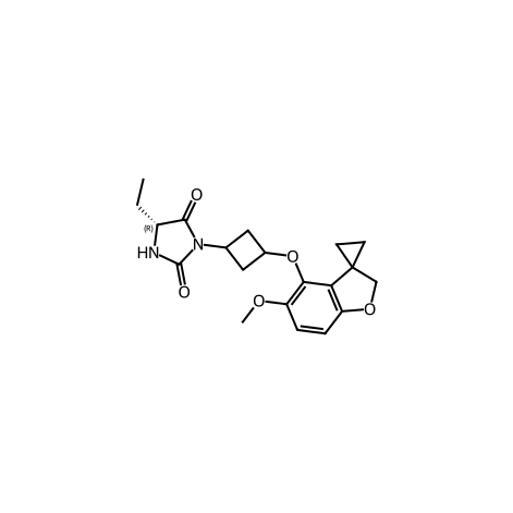 CC[C@H]1NC(=O)N(C2CC(Oc3c(OC)ccc4c3C3(CC3)CO4)C2)C1=O